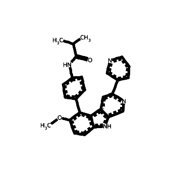 COc1ccc2[nH]c3cnc(-c4cccnc4)cc3c2c1-c1ccc(NC(=O)C(C)C)cc1